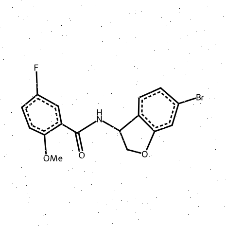 COc1ccc(F)cc1C(=O)NC1COc2cc(Br)ccc21